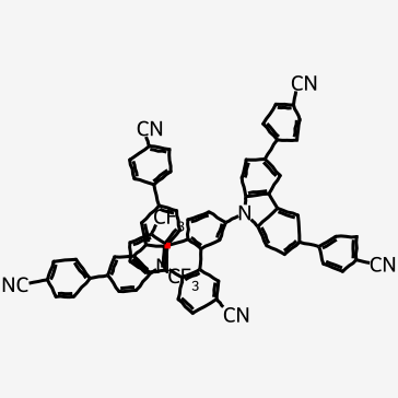 N#Cc1ccc(-c2ccc3c(c2)c2cc(-c4ccc(C#N)cc4)ccc2n3-c2ccc(-c3c(C(F)(F)F)cccc3C(F)(F)F)c(-c3cc(C#N)ccc3-n3c4ccc(-c5ccc(C#N)cc5)cc4c4cc(-c5ccc(C#N)cc5)ccc43)c2)cc1